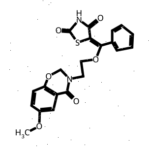 COc1ccc2c(c1)C(=O)N(CCOC(=C1SC(=O)NC1=O)c1ccccc1)CO2